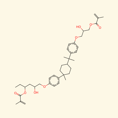 C=C(C)C(=O)OCC(O)COc1ccc(C(C)(C)C2CCC(C)(c3ccc(OCC(O)CC(CC)OC(=O)C(=C)C)cc3)CC2)cc1